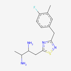 Cc1cc(Cc2nsc(CC(N)C(C)N)n2)ccc1F